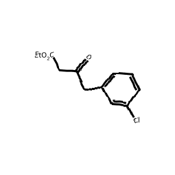 CCOC(=O)CC(=O)Cc1cccc(Cl)c1